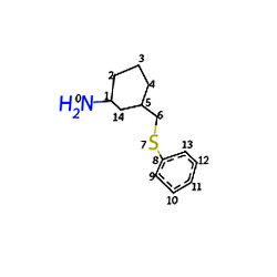 NC1CCCC(CSc2ccccc2)C1